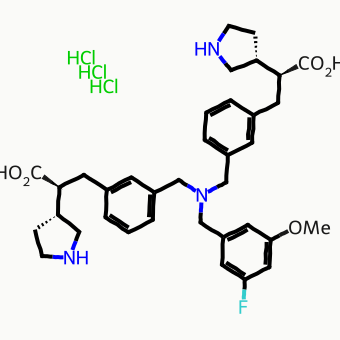 COc1cc(F)cc(CN(Cc2cccc(C[C@H](C(=O)O)[C@H]3CCNC3)c2)Cc2cccc(C[C@H](C(=O)O)[C@H]3CCNC3)c2)c1.Cl.Cl.Cl